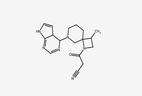 CC1CN(C(=O)CC#N)C12CCCN(C1N=CN=C3NC=CC31)C2